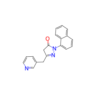 O=C1CC(Cc2cccnc2)=NN1c1cccc2ccccc12